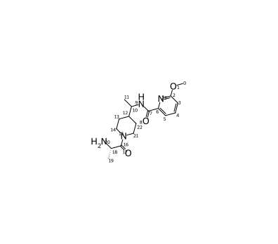 COc1cccc(C(=O)NC(C)C2CCN(C(=O)[C@H](C)N)CC2)n1